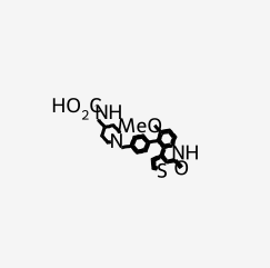 COc1ccc2[nH]c(=O)c3sccc3c2c1-c1ccc(CN2CCC(CNC(=O)O)CC2)cc1